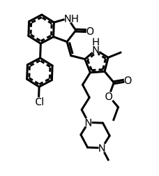 CCOC(=O)c1c(C)[nH]c(/C=C2\C(=O)Nc3cccc(-c4ccc(Cl)cc4)c32)c1CCCN1CCN(C)CC1